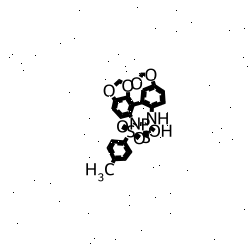 Cc1ccc(S(=O)(=O)N2c3ccc4c(c3-c3c(ccc5c3OCO5)NP2(O)=S)OCO4)cc1